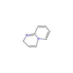 [C]1=CN2C=C[CH]N=C2C=C1